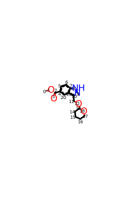 COC(=O)c1ccc2[nH]nc(COC3CCCCO3)c2c1